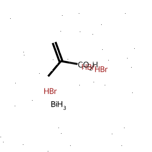 Br.Br.Br.C=C(C)C(=O)O.[BiH3]